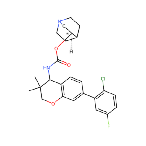 CC1(C)COc2cc(-c3cc(F)ccc3Cl)ccc2C1NC(=O)O[C@H]1CN2CCC1CC2